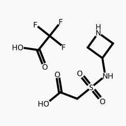 O=C(O)C(F)(F)F.O=C(O)CS(=O)(=O)NC1CNC1